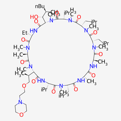 CCCC[C@@H](C)[C@@H](O)[C@H]1C(=O)N[C@@H](CC)C(=O)N(C)[C@H](C)C(=O)N(C)[C@@H]([C@H](C)COCCN2CCOCC2)C(=O)N[C@@H](C(C)C)C(=O)N(C)[C@@H](CC(C)C)C(=O)N[C@@H](C)C(=O)N[C@H](C)C(=O)N(C)[C@@H](CC(C)C)C(=O)N(C)[C@@H](CC(C)C)C(=O)N(C)[C@@H](C(C)C)C(=O)N1C